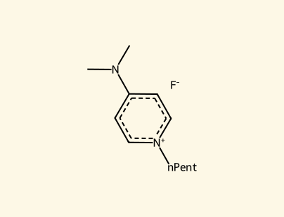 CCCCC[n+]1ccc(N(C)C)cc1.[F-]